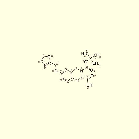 CC(C)(C)OC(=O)N1Cc2cc(OCc3ncco3)ccc2C[C@H]1C(=O)O